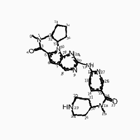 CN(C)C(=O)c1cc2cnc(Nc3ccc(C(=O)N(C)C4CCNCC4)cn3)nc2n1C1CCCC1